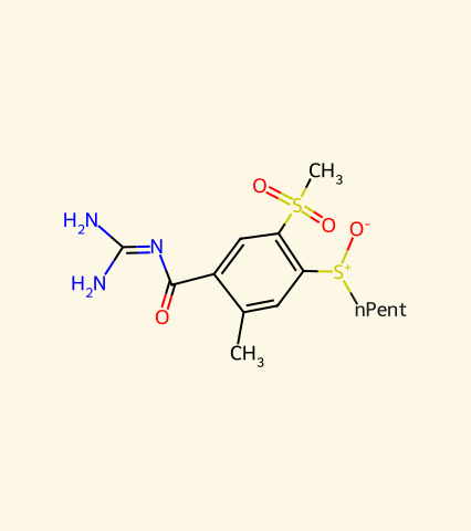 CCCCC[S+]([O-])c1cc(C)c(C(=O)N=C(N)N)cc1S(C)(=O)=O